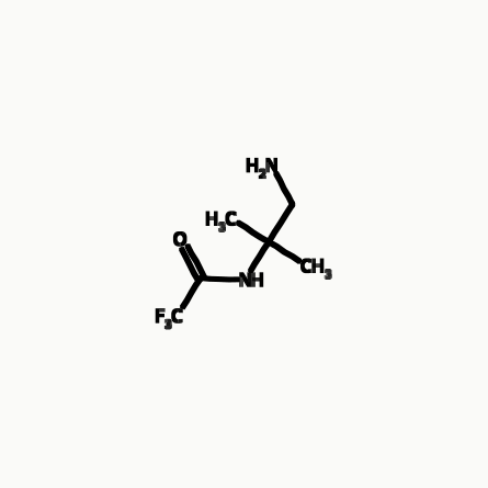 CC(C)(CN)NC(=O)C(F)(F)F